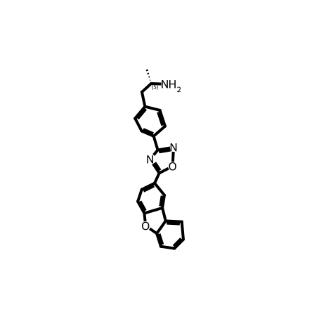 C[C@H](N)Cc1ccc(-c2noc(-c3ccc4oc5ccccc5c4c3)n2)cc1